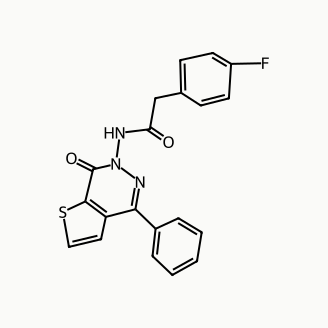 O=C(Cc1ccc(F)cc1)Nn1nc(-c2ccccc2)c2ccsc2c1=O